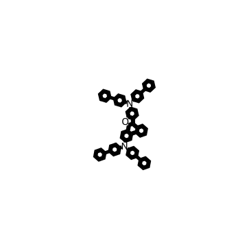 c1ccc(-c2ccc(N(c3ccc(-c4ccccc4)cc3)c3ccc4c(c3)oc3c5ccc(N(c6ccc(-c7ccccc7)cc6)c6ccc(-c7ccccc7)cc6)cc5c5ccccc5c43)cc2)cc1